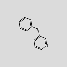 [B](c1ccccc1)c1cccnc1